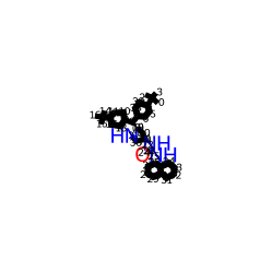 CC(C)(C)c1ccc(C(c2ccc(C(C)(C)C)cc2)[C@H]2C[C@@H](NC(=O)Nc3cccc4ccccc34)CN2)cc1